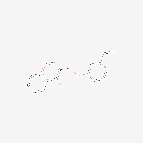 O=Cc1cccc(OCc2coc3ccccc3c2=O)c1